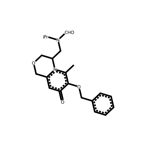 Cc1c(OCc2ccccc2)c(=O)cc2n1C(CN(C=O)C(C)C)COC2